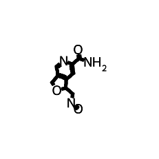 NC(=O)c1cc2c(cn1)COC2CN=O